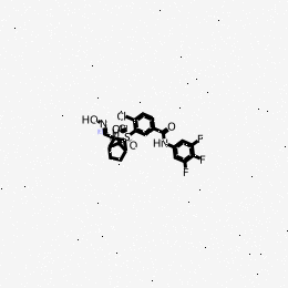 O=C(Nc1cc(F)c(F)c(F)c1)c1ccc(Cl)c(S(=O)(=O)[C@@H]2C3CCC2[C@@](O)(/C=N/O)C3)c1